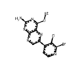 CCOc1nc(N)nc2ncc(-c3ccnc(Br)c3Cl)nc12